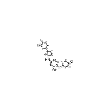 OC1N=C(Nc2nc(-c3ccc(F)c(F)c3)cs2)N=CN1Cc1ccc(Cl)cc1